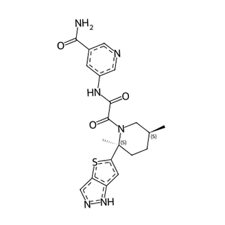 C[C@H]1CC[C@@](C)(c2cc3[nH]ncc3s2)N(C(=O)C(=O)Nc2cncc(C(N)=O)c2)C1